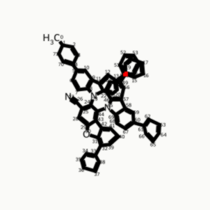 CC1C=CC(c2ccc3c(c2)c2cc(-c4ccccc4)ccc2n3-c2c(C#N)cc3oc4c(-c5ccccc5)cccc4c3c2-n2c3ccc(-c4ccccc4)cc3c3cc(-c4ccccc4)ccc32)=CC1